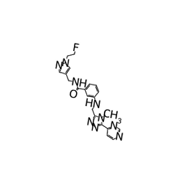 Cn1c(CNc2cccc(C(=O)NCc3cnn(CCF)c3)c2)nnc1-c1ccncn1